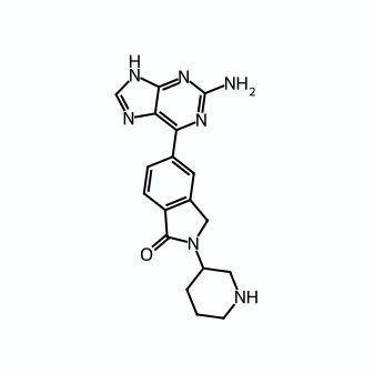 Nc1nc(-c2ccc3c(c2)CN(C2CCCNC2)C3=O)c2nc[nH]c2n1